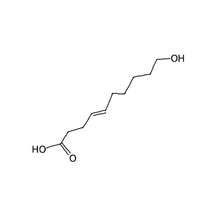 O=C(O)CC/C=C/CCCCCO